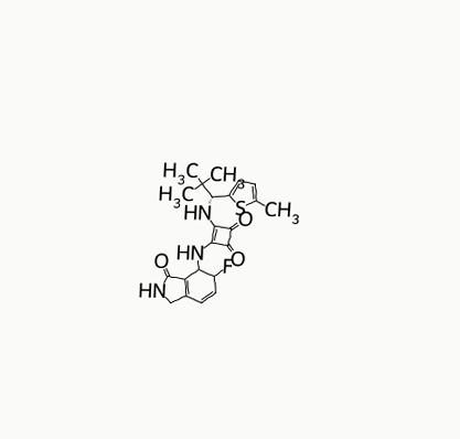 Cc1ccc([C@H](Nc2c(NC3C4=C(C=CC3F)CNC4=O)c(=O)c2=O)C(C)(C)C)s1